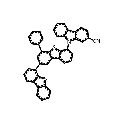 N#Cc1ccc2c3ccccc3n(-c3cccc4c3sc3c(-c5ccccc5)cc(-c5cccc6c5sc5ccccc56)cc34)c2c1